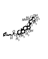 CCO[C@@H](C(C[C@@H](C)[C@H]1C[C@H](O)[C@@]2(C)C3CC[C@H]4C(C)(C)[C@@H](OC(=O)NCCN5CCC5)CC[C@@]45CC35CC[C@]12C)OC)C(C)(C)O